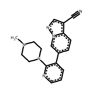 CN1CCN(c2ncccc2-c2ccc3c(C#N)cnn3c2)CC1